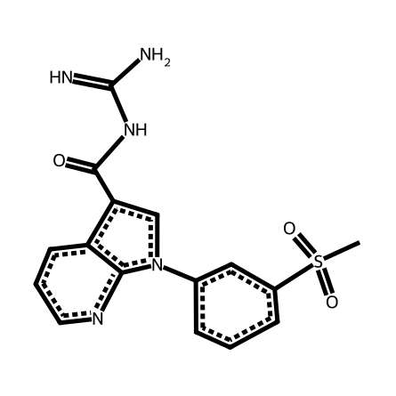 CS(=O)(=O)c1cccc(-n2cc(C(=O)NC(=N)N)c3cccnc32)c1